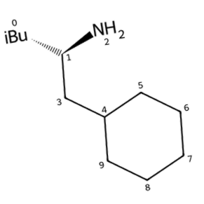 CC[C@@H](C)[C@@H](N)CC1CCCCC1